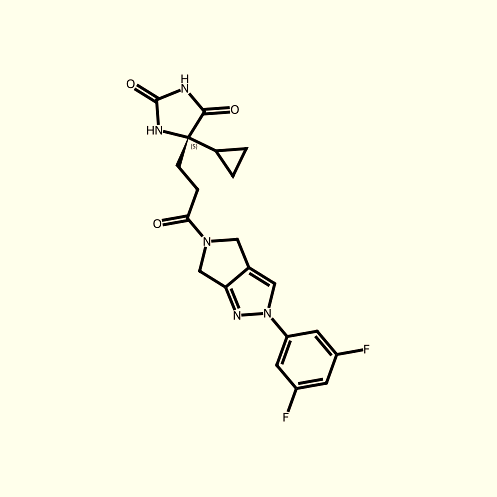 O=C1NC(=O)[C@](CCC(=O)N2Cc3cn(-c4cc(F)cc(F)c4)nc3C2)(C2CC2)N1